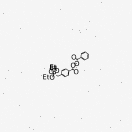 CCO[PH](Cc1ccc(C(=O)OOC(=O)c2ccccc2)cc1)(OCC)OCC